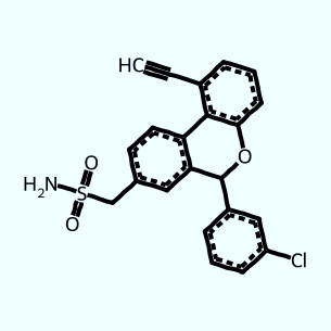 C#Cc1cccc2c1-c1ccc(CS(N)(=O)=O)cc1C(c1cccc(Cl)c1)O2